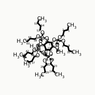 CCCCOP(=O)(OCCCC)O[C@@H]1[C@@H](OC)[C@H](OP(=O)(OCCCC)OCCCC)[C@@H](OP(=O)(OCCCC)OCCCC)[C@@H](OC)[C@H]1OP(=O)(OCCCC)OCCCC